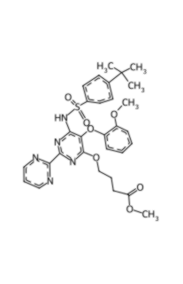 COC(=O)CCCOc1nc(-c2ncccn2)nc(NS(=O)(=O)c2ccc(C(C)(C)C)cc2)c1Oc1ccccc1OC